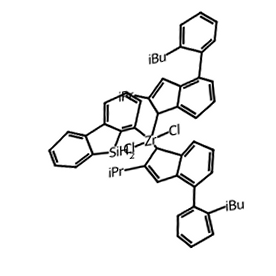 CCC(C)c1ccccc1-c1cccc2c1C=C(C(C)C)[CH]2[Zr]([Cl])([Cl])([c]1cccc2c1[SiH2]c1ccccc1-2)[CH]1C(C(C)C)=Cc2c(-c3ccccc3C(C)CC)cccc21